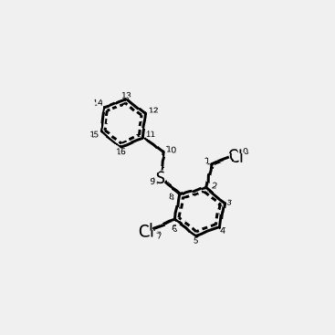 ClCc1cccc(Cl)c1SCc1ccccc1